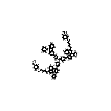 C=Cc1ccc(OCCCCCCC2(c3ccccc3)c3ccccc3-c3ccc(-c4ccc(N(c5ccc(-c6ccc7c(c6)C(CCCCCCOc6ccc(C=C)cc6)(c6ccccc6)c6ccccc6-7)cc5)c5ccc(-c6ccc7c(c6)c6ccccc6n7-c6ccccc6)cc5)cc4)cc32)cc1